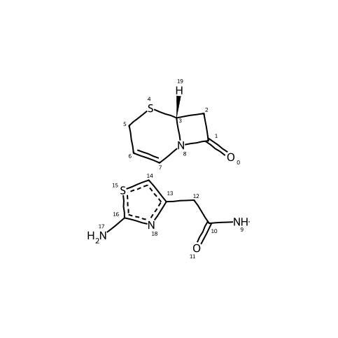 O=C1C[C@H]2SCC=CN12.[NH]C(=O)Cc1csc(N)n1